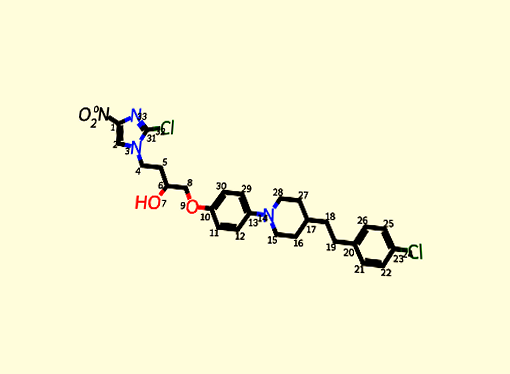 O=[N+]([O-])c1cn(CCC(O)COc2ccc(N3CCC(CCc4ccc(Cl)cc4)CC3)cc2)c(Cl)n1